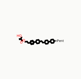 C=C(CO)C(=O)OCCCc1ccc(C2CCC(CCC3CCC(C4CCC(CCCCC)CC4)CC3)CC2)cc1